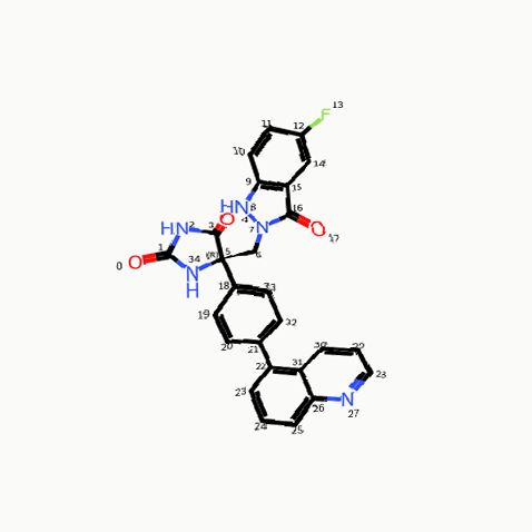 O=C1NC(=O)[C@](Cn2[nH]c3ccc(F)cc3c2=O)(c2ccc(-c3cccc4ncccc34)cc2)N1